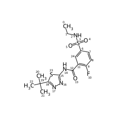 CCNS(=O)(=O)c1ccc(F)c(C(=O)Nc2nnc(C(C)(C)C)s2)c1